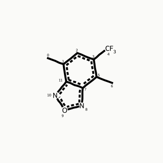 Cc1cc(C(F)(F)F)c(C)c2nonc12